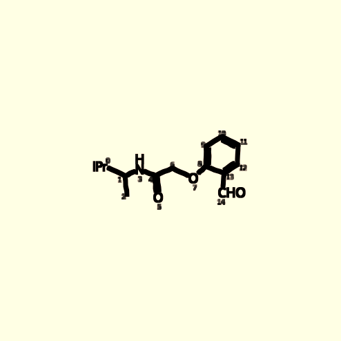 CC(C)C(C)NC(=O)COc1ccccc1C=O